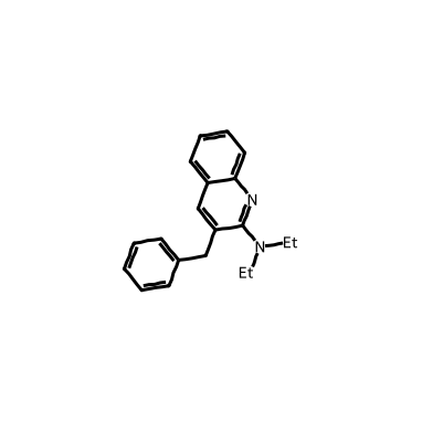 CCN(CC)c1nc2ccccc2cc1Cc1ccccc1